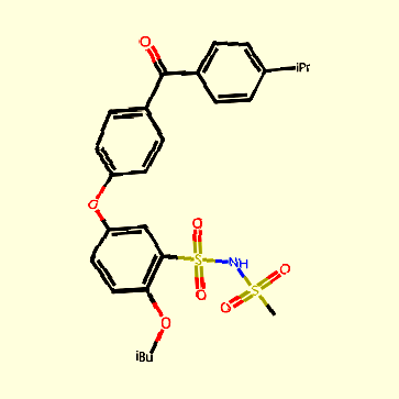 CCC(C)Oc1ccc(Oc2ccc(C(=O)c3ccc(C(C)C)cc3)cc2)cc1S(=O)(=O)NS(C)(=O)=O